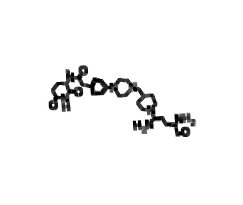 CN(C(=O)Cc1ccc(N2CCN(CC3CCN(/C(N)=C/C=C(\N)C=O)CC3)CC2)cc1)C1CCC(=O)NC1=O